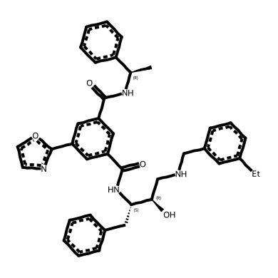 CCc1cccc(CNC[C@@H](O)[C@H](Cc2ccccc2)NC(=O)c2cc(C(=O)N[C@H](C)c3ccccc3)cc(-c3ncco3)c2)c1